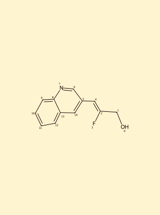 OCC(F)=Cc1cnc2ccccc2c1